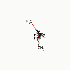 CCCCCCCCCCCCCCCC=CC(=O)OCC(O)COP(=O)(O)C(C[N+](C)(C)C)OC(=O)C=CCCCCCCCCCCCCCCC